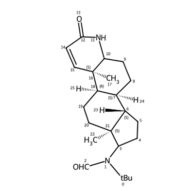 CC(C)(C)N(C=O)C1CC[C@H]2[C@@H]3CCC4NC(=O)C=C[C@]4(C)[C@@H]3CC[C@]12C